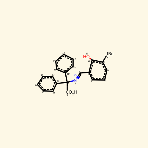 CC(C)(C)c1cccc(/C=N/C(C(=O)O)(c2ccccc2)c2ccccc2)c1O